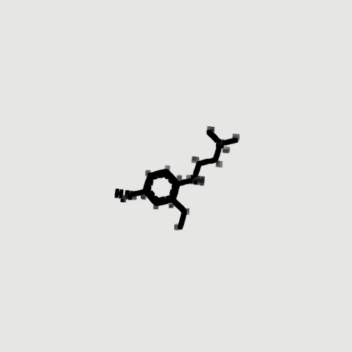 CCc1cc(N)ccc1NCCN(C)C